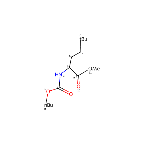 CCCCOC(=O)NC(CCC(C)(C)C)C(=O)OC